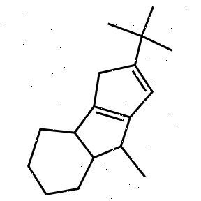 CC1C2=C(CC(C(C)(C)C)=C2)C2CCCCC12